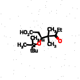 CCC(=O)C(C)(C)[C@H](CC(=O)O)O[Si](C)(C)C(C)(C)C